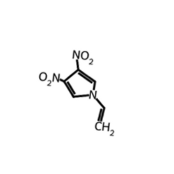 C=Cn1cc([N+](=O)[O-])c([N+](=O)[O-])c1